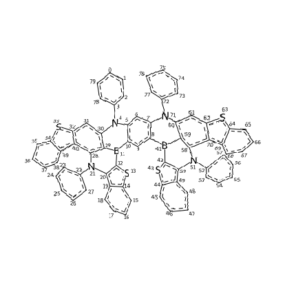 c1ccc(N2c3cc4c(cc3B3c5sc6ccccc6c5N(c5ccccc5)c5c3c2cc2sc3ccccc3c52)B2c3sc5ccccc5c3N(c3ccccc3)c3c2c(cc2sc5ccccc5c32)N4c2ccccc2)cc1